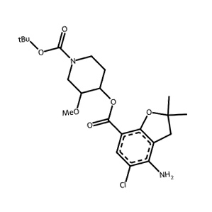 COC1CN(C(=O)OC(C)(C)C)CCC1OC(=O)c1cc(Cl)c(N)c2c1OC(C)(C)C2